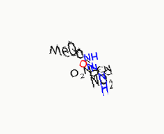 COc1ccc(NC(=O)CN=Nc2c([N+](=O)[O-])cc([N+](=O)[O-])c(NC3CCCCC3)c2C#N)cc1